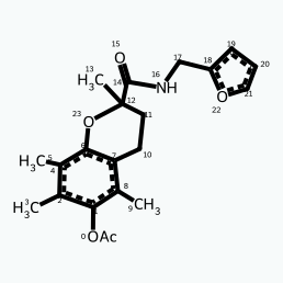 CC(=O)Oc1c(C)c(C)c2c(c1C)CCC(C)(C(=O)NCc1ccco1)O2